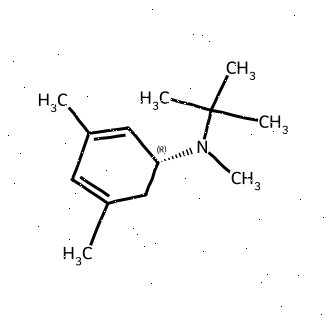 CC1=C[C@H](N(C)C(C)(C)C)CC(C)=C1